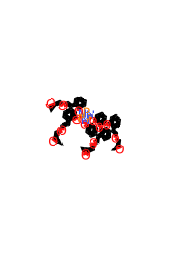 c1ccc(On2p(Oc3cccc(Oc4ccccc4CCOCC4CO4)c3Oc3ccccc3CCOCC3CO3)npn(Oc3ccccc3CCOCC3CO3)p2Oc2ccccc2CCOCC2CO2)cc1